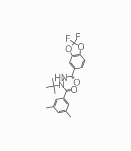 Cc1cc(C)cc(C(=O)N(NC(=O)c2ccc3c(c2)OC(F)(F)O3)C(C)(C)C)c1